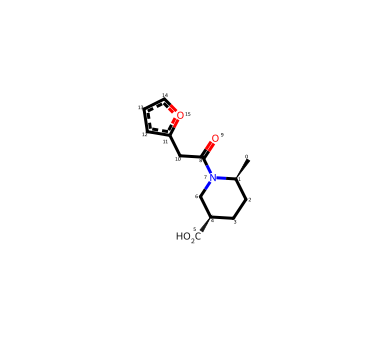 C[C@H]1CC[C@@H](C(=O)O)CN1C(=O)Cc1ccco1